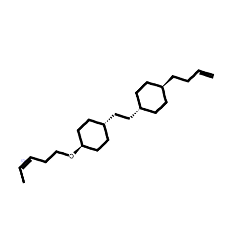 C=CCC[C@H]1CC[C@H](CC[C@H]2CC[C@H](OCC/C=C\C)CC2)CC1